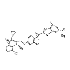 CC1(c2ccc(OC/C(C(=N)c3c(Cl)cccc3Cl)=C(/O)C3CC3)cc2Cl)CC1c1nc2c(F)cc(C(=O)O)cc2s1